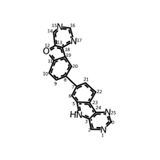 c1ncc2[nH]c3cc(-c4ccc5oc6cncnc6c5c4)ccc3c2n1